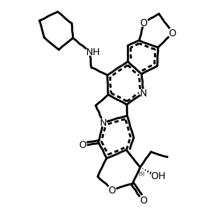 CC[C@@]1(O)C(=O)OCc2c1cc1n(c2=O)Cc2c-1nc1cc3c(cc1c2CNC1CCCCC1)OCO3